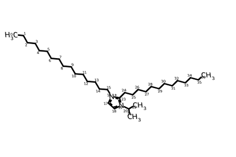 CCCCCCCCCCCCCCCC[n+]1ccn(C(C)C)c1CCCCCCCCCCCCC